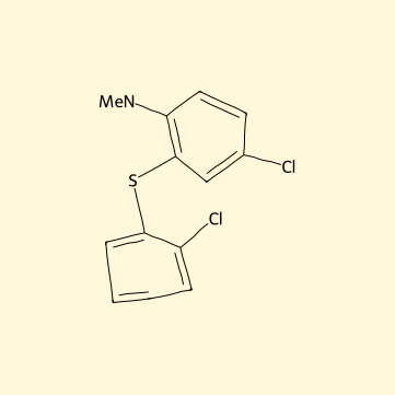 CNc1ccc(Cl)cc1Sc1ccccc1Cl